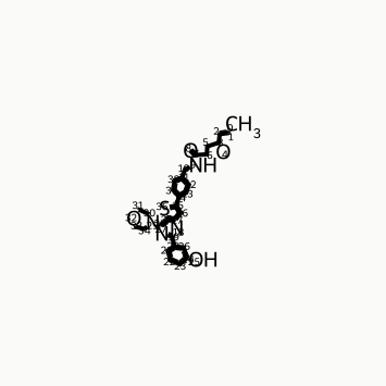 CC=CC(=O)CCC(=O)NCc1ccc(-c2cc3nc(-c4cccc(O)c4)nc(N4CCOCC4)c3s2)cc1